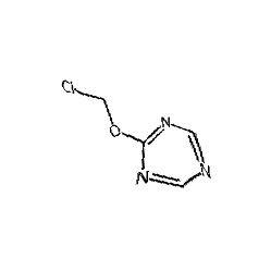 ClCOc1ncncn1